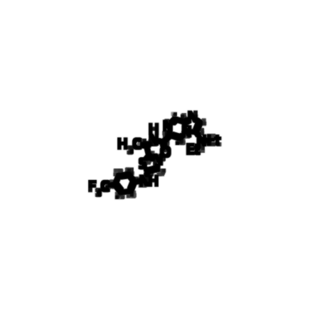 CCN(CC)c1cnc2cnc(C(=O)NC(C)c3ncc(Nc4ccc(C(F)(F)F)cc4)s3)cn12